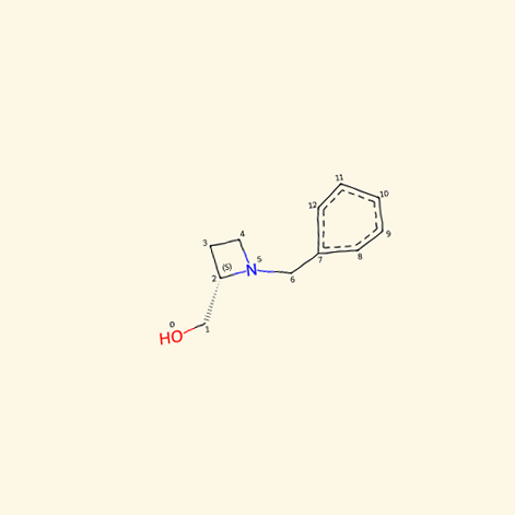 OC[C@@H]1CCN1Cc1ccccc1